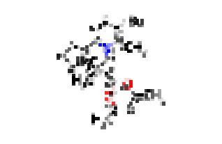 CCC(C)C1=C(C)N2C(C=C1)C1=C(CCC1)C1(C)C(=C3OC(C)CC(C)O3)C21C